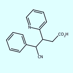 N#CC(c1ccccc1)C(CC(=O)O)c1ccccn1